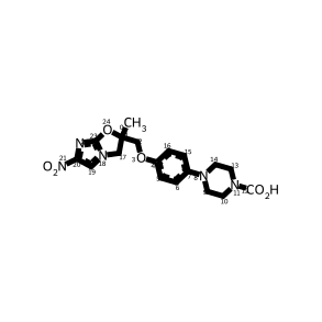 CC1(COc2ccc(N3CCN(C(=O)O)CC3)cc2)Cn2cc([N+](=O)[O-])nc2O1